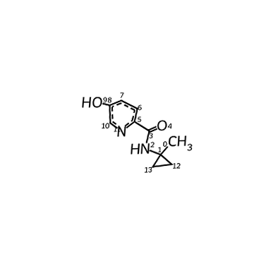 CC1(NC(=O)c2ccc(O)cn2)CC1